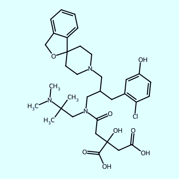 CN(C)C(C)(C)CN(CC(Cc1cc(O)ccc1Cl)CN1CCC2(CC1)OCc1ccccc12)C(=O)CC(O)(CC(=O)O)C(=O)O